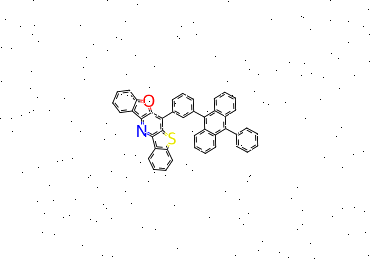 c1ccc(-c2c3ccccc3c(-c3cccc(-c4c5oc6ccccc6c5nc5c4sc4ccccc45)c3)c3ccccc23)cc1